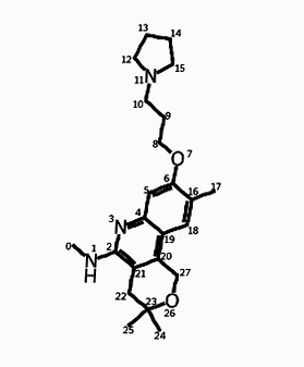 CNc1nc2cc(OCCCN3CCCC3)c(C)cc2c2c1CC(C)(C)OC2